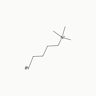 CC(C)CCCC[N+](C)(C)C